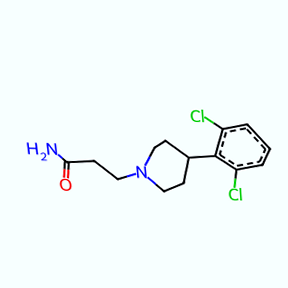 NC(=O)CCN1CCC(c2c(Cl)cccc2Cl)CC1